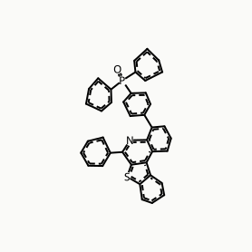 O=P(c1ccccc1)(c1ccccc1)c1ccc(-c2cccc3c2nc(-c2ccccc2)c2sc4ccccc4c23)cc1